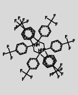 FC(F)(F)c1ccc([PH]2(c3ccc(C(F)(F)F)cc3)C[PH](c3ccc(C(F)(F)F)cc3)(c3ccc(C(F)(F)F)cc3)[PH](c3ccc(C(F)(F)F)cc3)(c3ccc(C(F)(F)F)cc3)C[PH]2(c2ccc(C(F)(F)F)cc2)c2ccc(C(F)(F)F)cc2)cc1